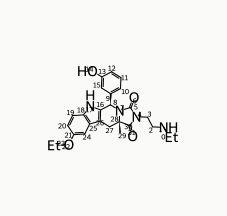 CCNCCN1C(=O)N2[C@H](c3cccc(O)c3)c3[nH]c4ccc(OCC)cc4c3C[C@@]2(C)C1=O